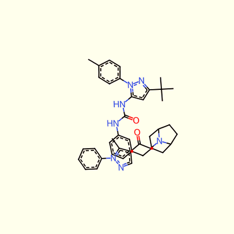 Cc1ccc(-n2nc(C(C)(C)C)cc2NC(=O)Nc2cccc(CC3CC4CCC(C3)N4CC(=O)c3cnn(-c4ccccc4)c3C)c2)cc1